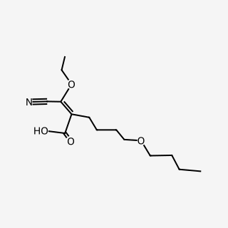 CCCCOCCCCC(C(=O)O)=C(C#N)OCC